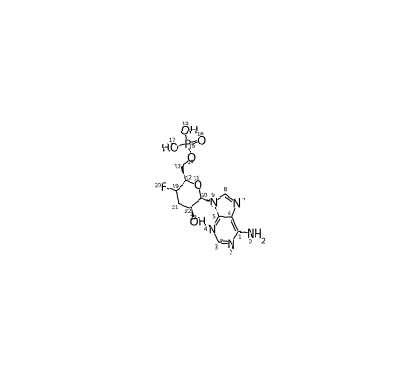 Nc1ncnc2c1ncn2[C@@H]1O[C@H](COP(=O)(O)O)C(F)C[C@@H]1O